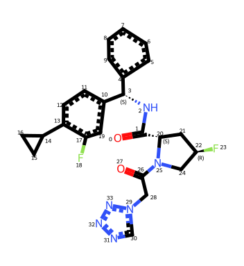 O=C(N[C@@H](c1ccccc1)c1ccc(C2CC2)c(F)c1)[C@@H]1C[C@@H](F)CN1C(=O)Cn1cnnn1